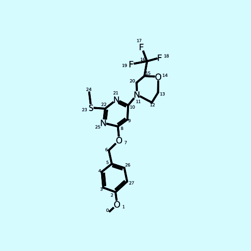 COc1ccc(COc2cc(N3CCOC(C(F)(F)F)C3)nc(SC)n2)cc1